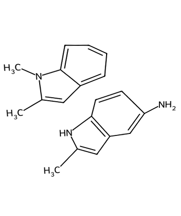 Cc1cc2cc(N)ccc2[nH]1.Cc1cc2ccccc2n1C